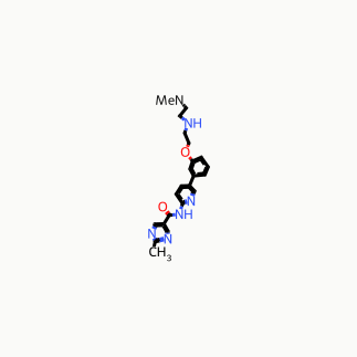 CNCCNCCOc1cccc(-c2ccc(NC(=O)c3cnc(C)nc3)nc2)c1